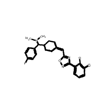 CN(C)C(c1ccc(F)cc1)C1CCC(=Cc2nc(-c3cccc(Cl)c3Cl)no2)CC1